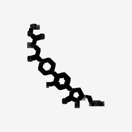 CC(=O)NC[C@H]1CN(c2ccc(N3CCN(C(=O)CNC(=O)OC(C)(C)C)CC3)c(F)c2)C(=O)N1